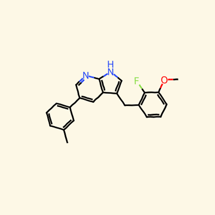 COc1cccc(Cc2c[nH]c3ncc(-c4cccc(C)c4)cc23)c1F